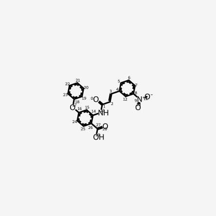 O=C(C=Cc1cccc([N+](=O)[O-])c1)Nc1cc(Oc2ccccc2)ccc1C(=O)O